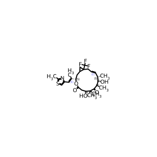 C/C(=C\c1csc(C)n1)[C@@H]1CC2CC2(C(F)(F)F)C/C=C/[C@H](C)[C@H](O)[C@@H](C)C(=O)C(C)(C)[C@@H](O)CC(=O)O1